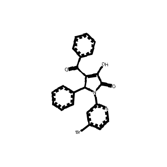 O=C(C1=C(O)C(=O)N(c2cc(Br)ccn2)C1c1ccccc1)c1ccccc1